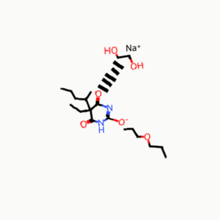 C=C.C=C.C=C.C=C.C=C.CCCC(C)C1(CC)C(=O)N=C([O-])NC1=O.CCCOCCC.OCCO.[Na+]